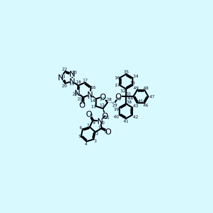 O=C1c2ccccc2C(=O)N1O[C@H]1C[C@@H](n2ccc(-n3cncn3)nc2=O)O[C@@H]1COC(c1ccccc1)(c1ccccc1)c1ccccc1